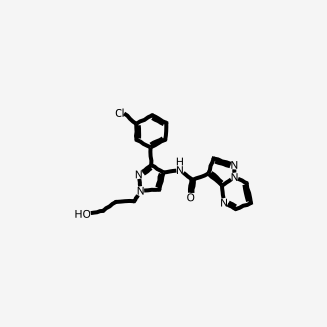 O=C(Nc1cn(CCCO)nc1-c1cccc(Cl)c1)c1cnn2cccnc12